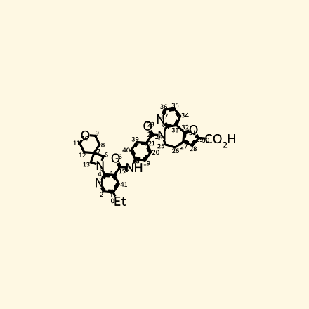 CCc1cnc(N2CC3(CCOCC3)C2)c(C(=O)Nc2ccc(C(=O)N3CCc4cc(C(=O)O)oc4-c4cccnc43)cc2)c1